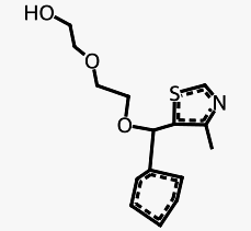 Cc1ncsc1C(OCCOCCO)c1ccccc1